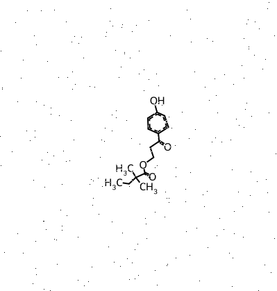 CCC(C)(C)C(=O)OCCC(=O)c1ccc(O)cc1